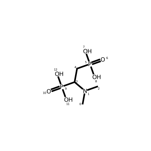 CN(C)C(CP(=O)(O)O)P(=O)(O)O